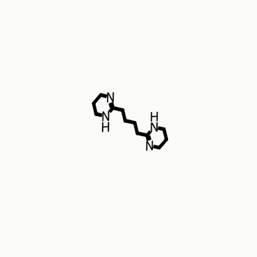 C1CN=C(CCCCC2=NCCCN2)NC1